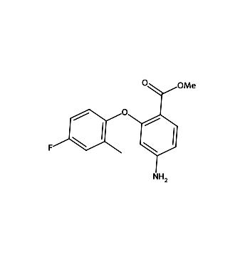 COC(=O)c1ccc(N)cc1Oc1ccc(F)cc1C